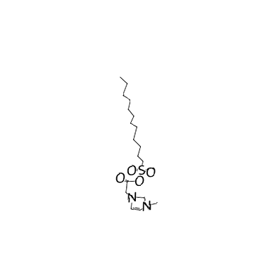 CCCCCCCCCCCCS(=O)(=O)OC(=O)CN1C=CN(C)C1